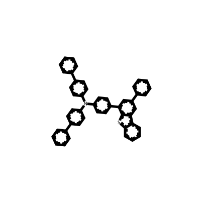 c1ccc(-c2ccc(N(c3ccc(-c4ccccc4)cc3)c3ccc(-c4cc(-c5ccccc5)cc5c4sc4ccccc45)cc3)cc2)cc1